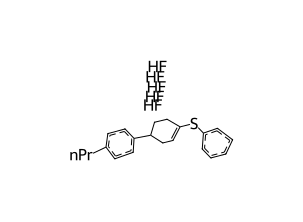 CCCc1ccc(C2CC=C(Sc3ccccc3)CC2)cc1.F.F.F.F.F